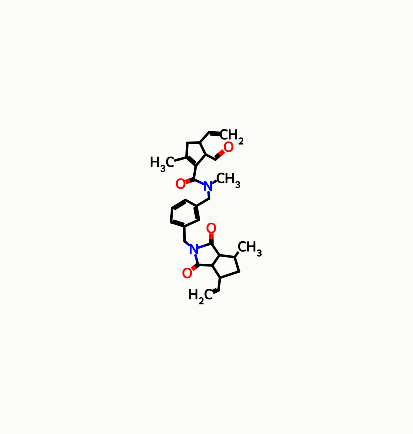 C=CC1CC(C)=C(C(=O)N(C)Cc2cccc(CN3C(=O)C4C(C)CC(C=C)C4C3=O)c2)C1C=O